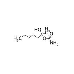 CCCCCC(C)(O)OC(N)=O